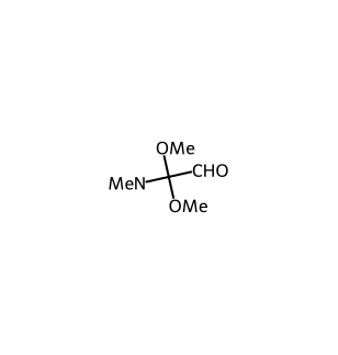 CNC(C=O)(OC)OC